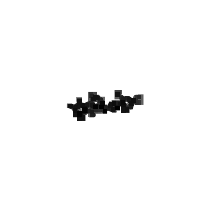 Cc1nnc2sc3c(NC4CN(c5ncc(Cl)cc5F)C4)ncnc3c2c1C